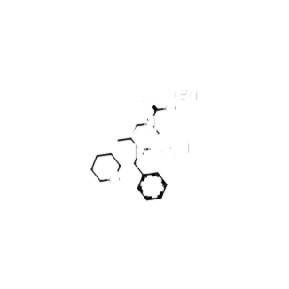 CN(C[C@H](C[C@H]1CCCOC1)N(Cc1ccccc1)C(=O)O)C(=O)OC(C)(C)C